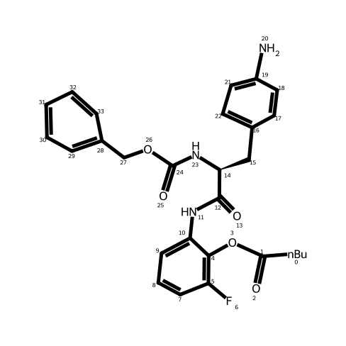 CCCCC(=O)Oc1c(F)cccc1NC(=O)[C@H](Cc1ccc(N)cc1)NC(=O)OCc1ccccc1